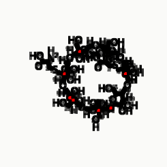 N[C@H](CSCC1O[C@H]2O[C@@H]3C(CO)O[C@H](O[C@@H]4C(CO)O[C@H](O[C@@H]5C(CO)O[C@H](O[C@H]6C(CSC[C@@H](N)C(=O)O)O[C@H](O[C@@H]7C(CO)O[C@@H](O[C@@H]8C(CO)O[C@@H](O[C@H]1[C@H](O)C2O)C(O)[C@H]8O)C(O)[C@H]7O)C(O)[C@H]6O)C(O)[C@H]5O)C(O)[C@H]4O)C(O)[C@H]3O)C(=O)O